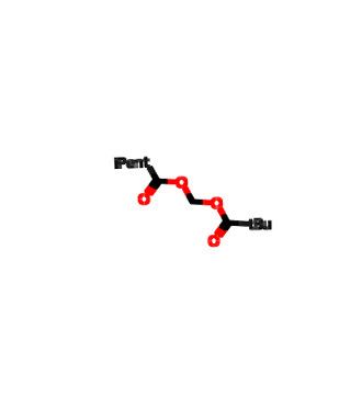 CCCC(C)C(=O)OCOC(=O)C(C)(C)C